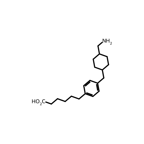 NCC1CCC(Cc2ccc(CCCCCC(=O)O)cc2)CC1